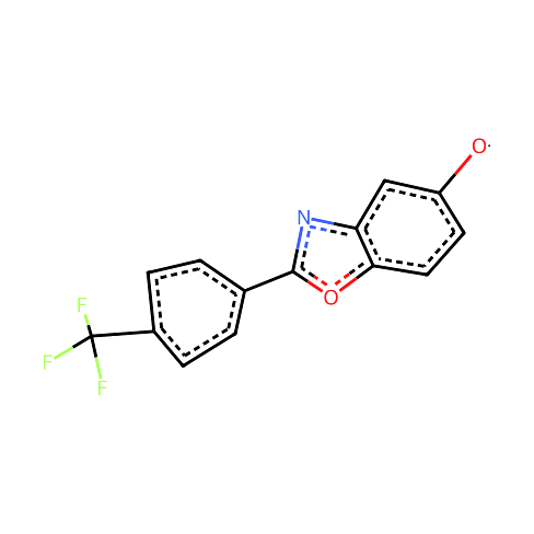 [O]c1ccc2oc(-c3ccc(C(F)(F)F)cc3)nc2c1